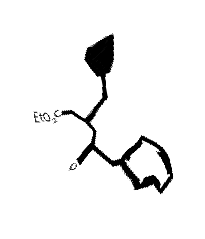 C#CCC(C(=O)OCC)C(=O)c1ccccc1